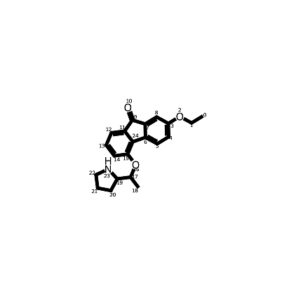 CCOc1ccc2c(c1)C(=O)c1cccc(OC(C)C3CCCN3)c1-2